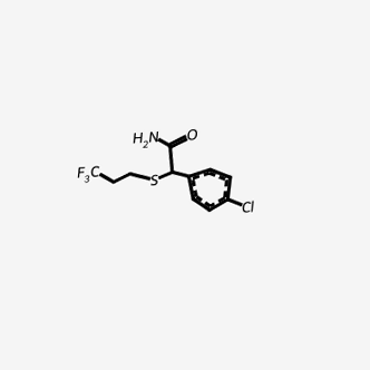 NC(=O)C(SCCC(F)(F)F)c1ccc(Cl)cc1